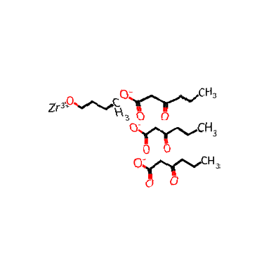 CCCC(=O)CC(=O)[O-].CCCC(=O)CC(=O)[O-].CCCC(=O)CC(=O)[O-].CCCC[O][Zr+3]